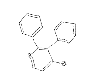 CCc1ccbc(-c2ccccc2)c1-c1ccccc1